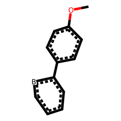 COc1ccc(-c2bcccc2)cc1